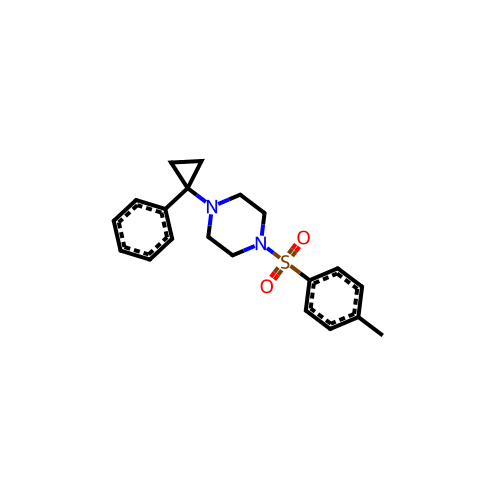 Cc1ccc(S(=O)(=O)N2CCN(C3(c4ccccc4)CC3)CC2)cc1